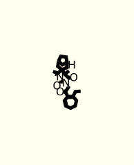 CCC1=C(C(=O)CN2C(=O)N(C)C(C)(C3(CC)CC4CC[C@H](C4)C3)C2=O)C=CCCC1